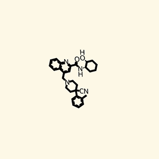 Cc1ccccc1C1(C#N)CCN(Cc2cc(C(=O)N[C@H]3CCCC[C@@H]3O)nc3ccccc23)CC1